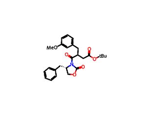 COc1cccc(CC(CC(=O)OC(C)(C)C)C(=O)N2C(=O)OC[C@@H]2Cc2ccccc2)c1